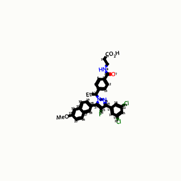 CCC(c1ccc(C(=O)NCCC(=O)O)cc1)n1nc(-c2cc(Cl)cc(Cl)c2)c(F)c1-c1ccc2cc(OC)ccc2c1